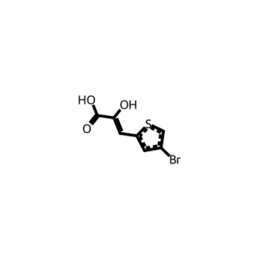 O=C(O)C(O)=Cc1cc(Br)cs1